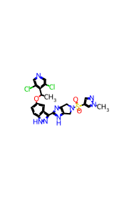 CC(Oc1ccc2[nH]nc(-c3nc4c([nH]3)CN(S(=O)(=O)c3cnn(C)c3)C4)c2c1)c1c(Cl)cncc1Cl